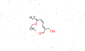 C=C(/C=C\C=C(\C=O)CO)OCC